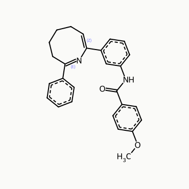 COc1ccc(C(=O)Nc2cccc(C3=C/CCCC/C(c4ccccc4)=N\3)c2)cc1